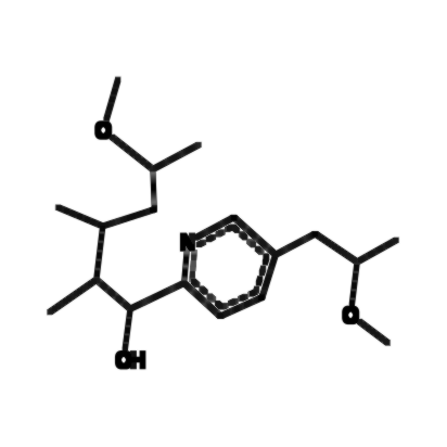 COC(C)Cc1ccc(C(O)C(C)C(C)CC(C)OC)nc1